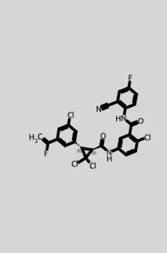 C=C(F)c1cc(Cl)cc([C@@H]2[C@@H](C(=O)Nc3ccc(Cl)c(C(=O)Nc4ccc(F)cc4C#N)c3)C2(Cl)Cl)c1